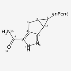 CCCCCC1C2Cc3c(n[nH]c3C(N)=O)C12